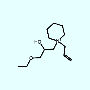 C=CC[N+]1(CC(O)COCC)CCCCC1